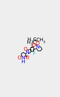 CC(C)(C)OC(=O)N1CCCCC1c1ccc2c(c1F)CN(C1CCC(=O)NC1=O)C2=O